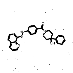 O=C(c1ccc(NSc2cccc3cccnc23)cc1)N1CCC(O)(c2ccccc2)CC1